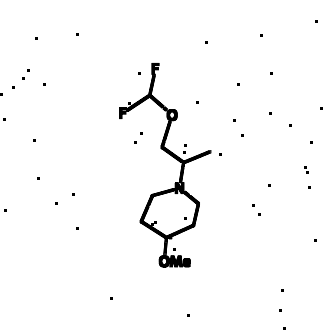 CO[C]1CCN(C(C)COC(F)F)CC1